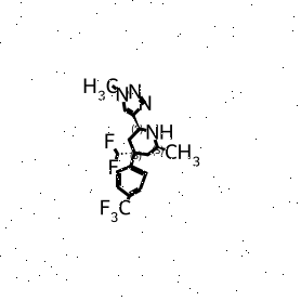 C[C@H]1C[C@](c2ccc(C(F)(F)F)cc2)(C(F)F)C[C@@H](c2cn(C)nn2)N1